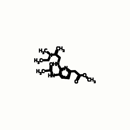 C=C(CNc1nc(CC(=O)OC)ccc1NC(C)=O)N(C)CC